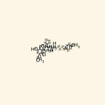 CCOc1cc(O)c(F)c(N2Cc3cnc(NCCCCCN4CCN(C)CC4)nc3N(C3CCCC3)C2=O)c1Cl